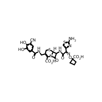 N#Cc1cc(C(=O)NCC2=C(C(=O)O)N3C(=O)C(NC(=O)/C(=N\OC4(C(=O)O)CCC4)c4csc(N)n4)[C@@H]3SC2)cc(O)c1O